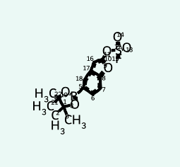 CC1(C)OB(c2ccc3oc(OS(=O)(=O)F)cc3c2)OC1(C)C